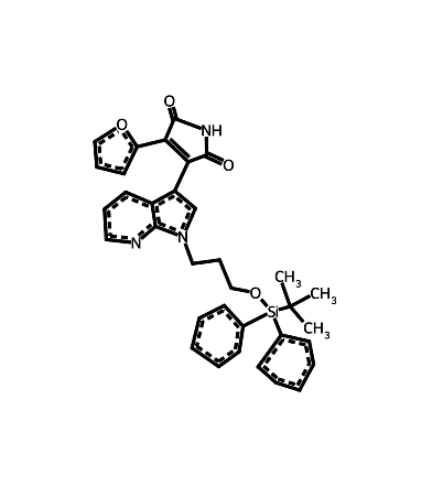 CC(C)(C)[Si](OCCCn1cc(C2=C(c3ccco3)C(=O)NC2=O)c2cccnc21)(c1ccccc1)c1ccccc1